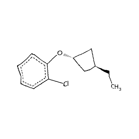 CC[C@H]1C[C@H](Oc2ccccc2Cl)C1